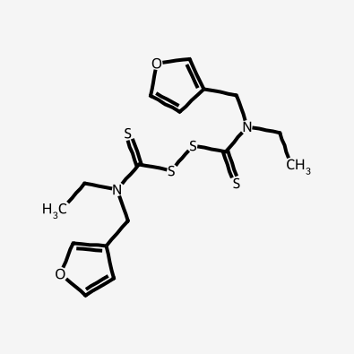 CCN(Cc1ccoc1)C(=S)SSC(=S)N(CC)Cc1ccoc1